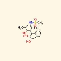 Cc1cc(NS(C)(=O)=O)c(C)c(-c2c(O)c(O)cc3ccccc23)c1O